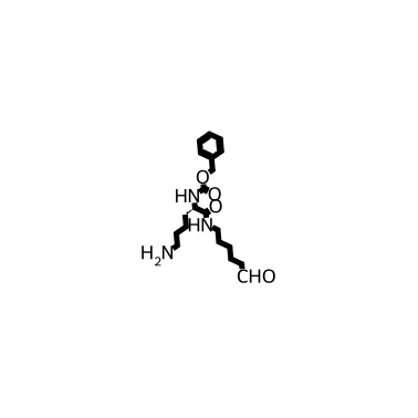 NCCCC[C@H](NC(=O)OCc1ccccc1)C(=O)NCCCCCC=O